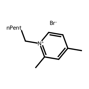 CCCCCC[n+]1ccc(C)cc1C.[Br-]